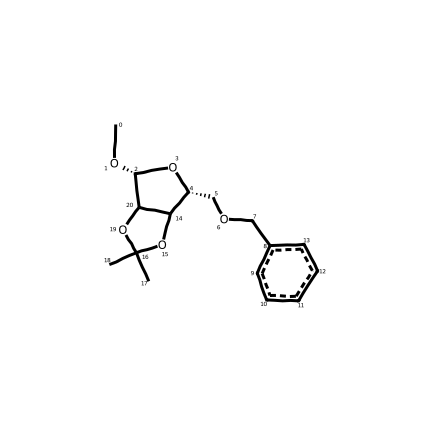 CO[C@@H]1O[C@H](COCc2ccccc2)C2OC(C)(C)OC21